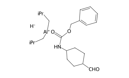 CC(C)[CH2][Al+][CH2]C(C)C.O=CC1CCC(NC(=O)OCc2ccccc2)CC1.[H-]